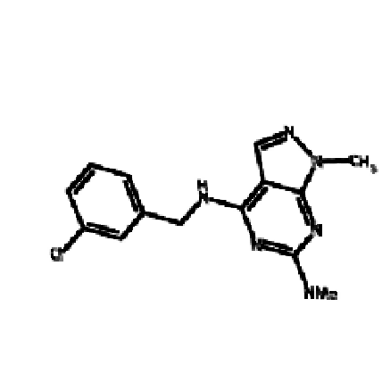 CNc1nc(NCc2cccc(Cl)c2)c2cnn(C)c2n1